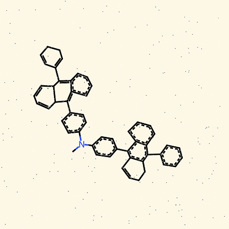 CN(c1ccc(C2=c3ccccc3=C(C3=CCCC=C3)C3C=CC=CC23)cc1)c1ccc(-c2c3c(c(-c4ccccc4)c4ccccc24)CCC=C3)cc1